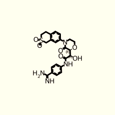 N=C(N)c1ccc(NC(=O)[C@H](O)[C@H]2OCCN(c3ccc4c(c3)CS(=O)(=O)CC4)C2=O)cc1